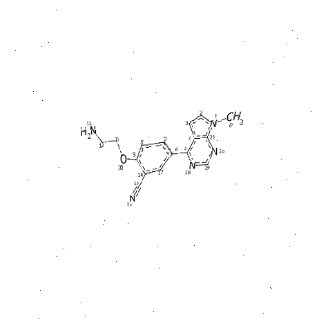 Cn1ccc2c(-c3ccc(OCCN)c(C#N)c3)ncnc21